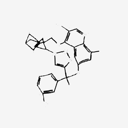 BC(Nc1cc(Cl)c2ncc(C#N)c(NCC34CC(C3)C4)c2c1)(C1=CN(C2CC2)NN1)c1cccc(C#N)c1